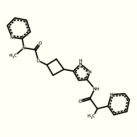 CC(C(=O)Nc1cc(C2CC(OC(=O)N(C)c3ccccn3)C2)[nH]n1)c1ccccn1